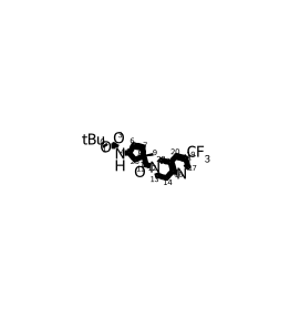 CC(C)(C)OC(=O)NC1C=C[C@](C)(C(=O)N2CCc3ncc(C(F)(F)F)cc3C2)C1